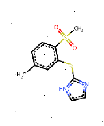 [CH2]c1ccc(S(C)(=O)=O)c(Sc2ncc[nH]2)c1